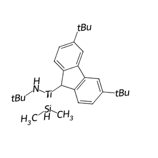 C[SiH](C)[Ti]([NH]C(C)(C)C)[CH]1c2ccc(C(C)(C)C)cc2-c2cc(C(C)(C)C)ccc21